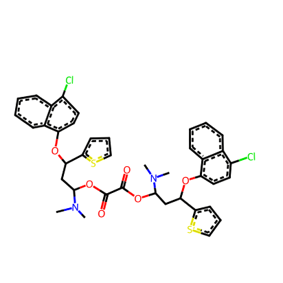 CN(C)C(CC(Oc1ccc(Cl)c2ccccc12)c1cccs1)OC(=O)C(=O)OC(CC(Oc1ccc(Cl)c2ccccc12)c1cccs1)N(C)C